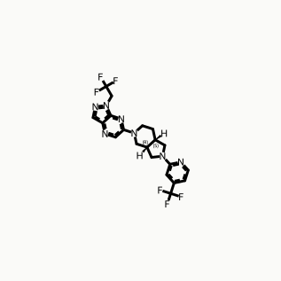 FC(F)(F)Cn1ncc2ncc(N3CC[C@@H]4CN(c5cc(C(F)(F)F)ccn5)C[C@@H]4C3)nc21